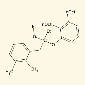 CCCCCCCCc1cccc(O[N+](CC)(Cc2cccc(C)c2C)OCC)c1CCCCCCCC